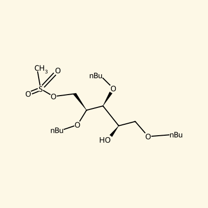 CCCCOC[C@@H](O)[C@H](OCCCC)[C@H](COS(C)(=O)=O)OCCCC